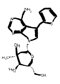 C[C@@]1(O)[C@H](O)[C@@H](CO)O[C@H]1n1cc(-c2cccs2)c2c(N)ncnc21